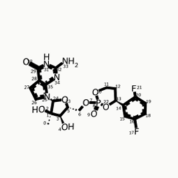 C[C@@]1(O)[C@H](O)[C@@H](COP2(=O)OCC[C@@H](c3cc(F)ccc3F)O2)O[C@H]1n1ccc2c(=O)[nH]c(N)nc21